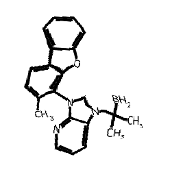 BC(C)(C)N1CN(c2c(C)ccc3c2oc2ccccc23)c2ncccc21